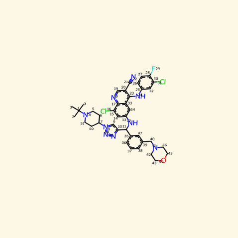 CC(C)(C)N1CCC(n2cc(C(Nc3cc(Cl)c4ncc(C#N)c(Nc5ccc(F)c(Cl)c5)c4c3)c3cccc(CN4CCOCC4)c3)nn2)CC1